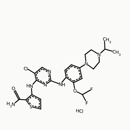 CC(C)N1CCN(c2ccc(Nc3ncc(Cl)c(Nc4ccsc4C(N)=O)n3)c(OC(F)F)c2)CC1.Cl